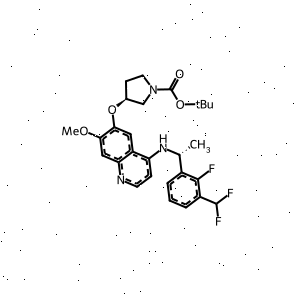 COc1cc2nccc(N[C@H](C)c3cccc(C(F)F)c3F)c2cc1O[C@H]1CCN(C(=O)OC(C)(C)C)C1